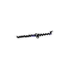 CC/C=C\CCCCCCCCCC(=O)O/C=C/C=C/CCCCCCCCCCCC